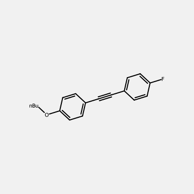 CCCCOc1ccc(C#Cc2ccc(F)cc2)cc1